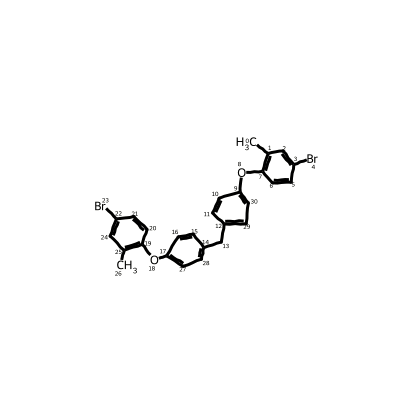 Cc1cc(Br)ccc1Oc1ccc(Cc2ccc(Oc3ccc(Br)cc3C)cc2)cc1